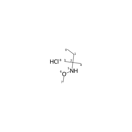 CCC(C)(C)NOC.Cl